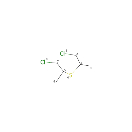 CC(CCl)SC(C)CCl